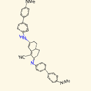 CNc1ccc(-c2ccc(/N=C3\CCC4CCC(Nc5ccc(-c6ccc(NC)cc6)cc5)=CC4=C3C#N)cc2)cc1